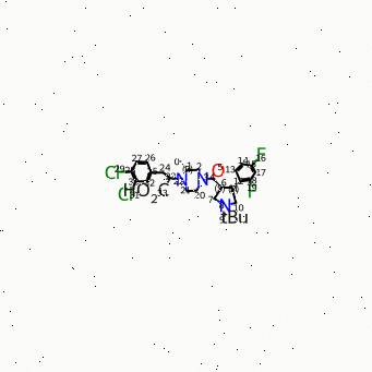 C[C@@H]1CN(C(=O)[C@@H]2CN(C(C)(C)C)C[C@H]2c2ccc(F)cc2F)CCN1C(Cc1ccc(Cl)c(Cl)c1)C(=O)O